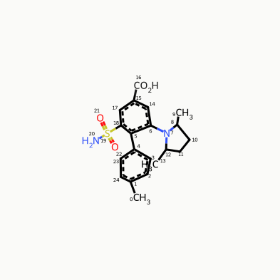 Cc1ccc(-c2c(N3C(C)CCC3C)cc(C(=O)O)cc2S(N)(=O)=O)cc1